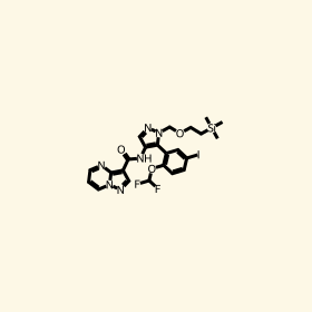 C[Si](C)(C)CCOCn1ncc(NC(=O)c2cnn3cccnc23)c1-c1cc(I)ccc1OC(F)F